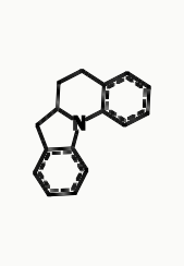 c1ccc2c(c1)CCC1Cc3ccccc3N21